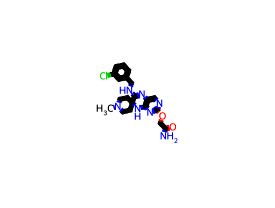 CN1CCC2(CC1)Nc1nc(OCC(N)=O)ncc1N=C2NCc1cccc(Cl)c1